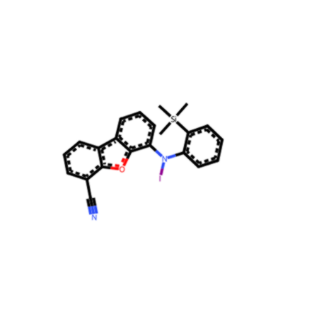 C[Si](C)(C)c1ccccc1N(I)c1cccc2c1oc1c(C#N)cccc12